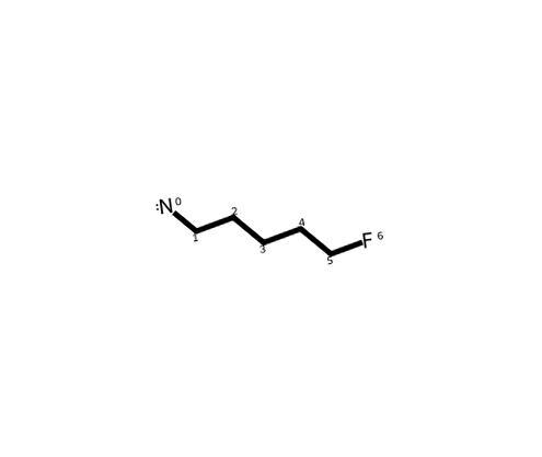 [N]CCCCCF